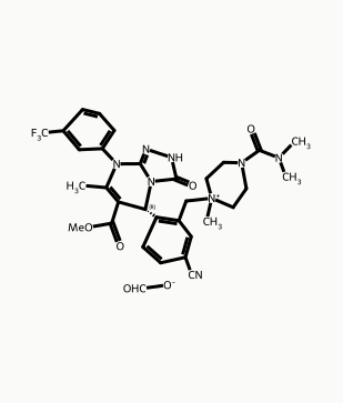 COC(=O)C1=C(C)N(c2cccc(C(F)(F)F)c2)c2n[nH]c(=O)n2[C@@H]1c1ccc(C#N)cc1C[N+]1(C)CCN(C(=O)N(C)C)CC1.O=C[O-]